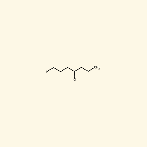 [CH2]CCC(Cl)CCCI